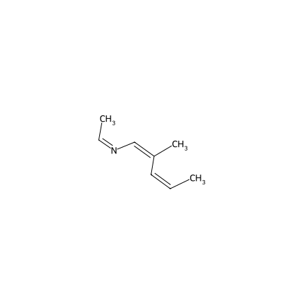 C\C=C/C(C)=C\N=C/C